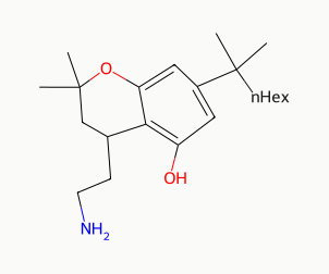 CCCCCCC(C)(C)c1cc(O)c2c(c1)OC(C)(C)CC2CCN